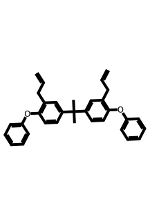 C=CCc1cc(C(C)(C)c2ccc(Oc3ccccc3)c(CC=C)c2)ccc1Oc1ccccc1